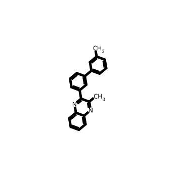 Cc1cccc(-c2cccc(-c3nc4ccccc4nc3C)c2)c1